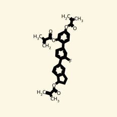 C=C(C)C(=O)Oc1ccc(-c2ccc(-c3ccc4c(c3)CCC4OC(=O)C(=C)C)c(F)c2)c(OC(=O)C(=C)C)c1